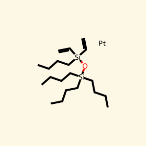 C=C[Si](C=C)(CCCC)O[Si](CCCC)(CCCC)CCCC.[Pt]